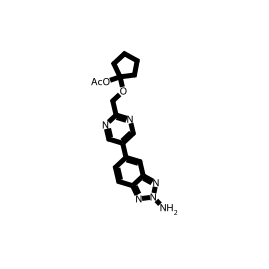 CC(=O)OC1(OCc2ncc(-c3ccc4nn(N)nc4c3)cn2)CCCC1